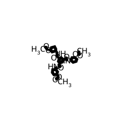 CC(=O)Oc1cccc(NC(=O)c2cc(C(=O)Nc3cccc(OC(C)=O)c3)cc(C(=O)Nc3cccc(OC(C)=O)c3)c2)c1